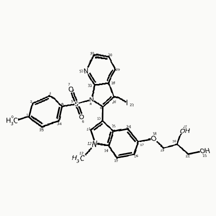 Cc1ccc(S(=O)(=O)n2c(-c3cn(C)c4ccc(OCC(O)CO)cc34)c(I)c3cccnc32)cc1